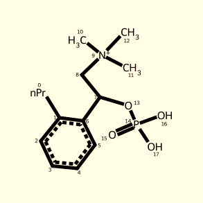 CCCc1ccccc1C(C[N+](C)(C)C)OP(=O)(O)O